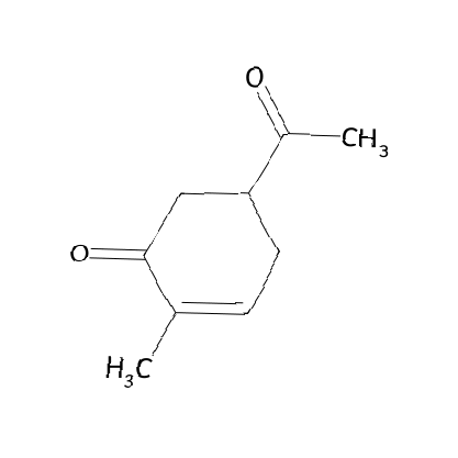 CC(=O)C1CC=C(C)C(=O)C1